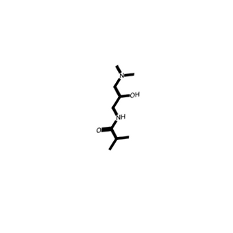 CC(C)C(=O)NCC(O)CN(C)C